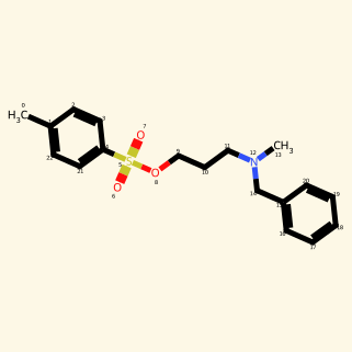 Cc1ccc(S(=O)(=O)OCCCN(C)Cc2ccccc2)cc1